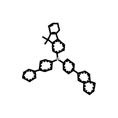 CC1(C)C2=C(CCC=C2)c2ccc(N(c3ccc(-c4ccccc4)cc3)c3ccc(-c4ccc5ccccc5c4)cc3)cc21